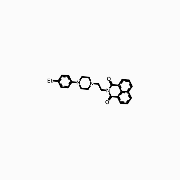 CCc1ccc(N2CCN(CCN3C(=O)c4cccc5cccc(c45)C3=O)CC2)cc1